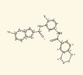 O=C(Nc1ccc(F)c(NC(=O)c2cc3cc(F)ccc3s2)c1)c1ccc2c(c1)OCCO2